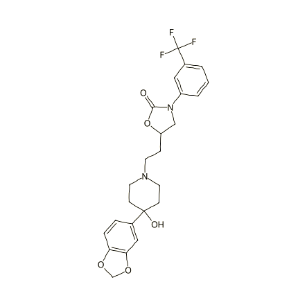 O=C1OC(CCN2CCC(O)(c3ccc4c(c3)OCO4)CC2)CN1c1cccc(C(F)(F)F)c1